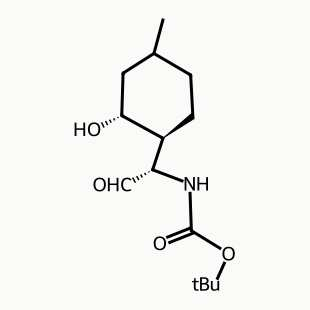 CC1CC[C@@H]([C@@H](C=O)NC(=O)OC(C)(C)C)[C@H](O)C1